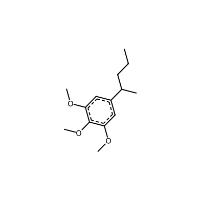 CCCC(C)c1cc(OC)c(OC)c(OC)c1